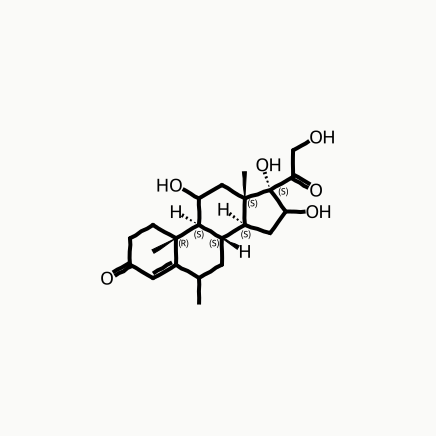 CC1C[C@@H]2[C@H](C(O)C[C@@]3(C)[C@H]2CC(O)[C@]3(O)C(=O)CO)[C@@]2(C)CCC(=O)C=C12